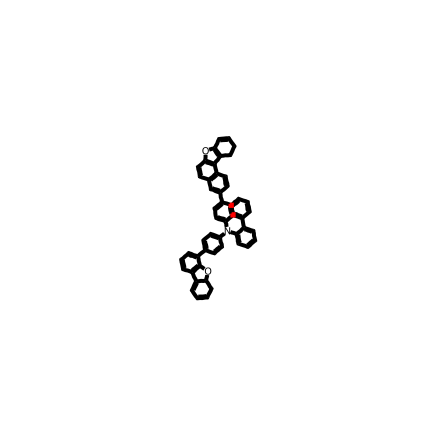 C1=CCC2Oc3c(cccc3-c3ccc(N(c4ccc(-c5ccc6c(ccc7oc8c(c76)CCC=C8)c5)cc4)c4ccccc4-c4ccccc4)cc3)C2=C1